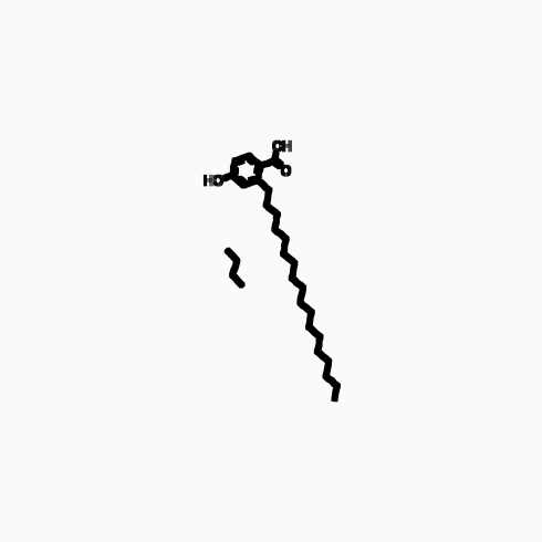 CCCC.CCCCCCCCCCCCCCCCCCc1cc(O)ccc1C(=O)O